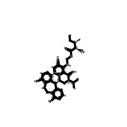 CC[C@H](C)[C@H](N)C(=O)OCOc1c2n(ncc1=O)[C@@H](C1c3cccc(F)c3CCc3c(F)cccc31)CN(C(C)C)C2=O